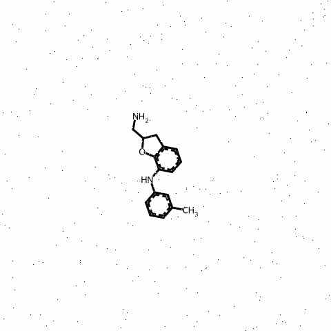 Cc1cccc(Nc2cccc3c2OC(CN)C3)c1